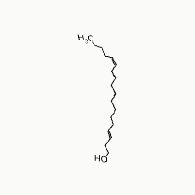 CCCC/C=C\CCCCCCCC/C=C/CCO